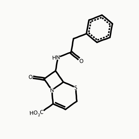 O=C(Cc1ccccc1)NC1C(=O)N2C(C(=O)O)=CCSC12